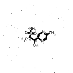 Cc1cnc([C@@H](O)[C@H](C)S(N)(=O)=O)cn1